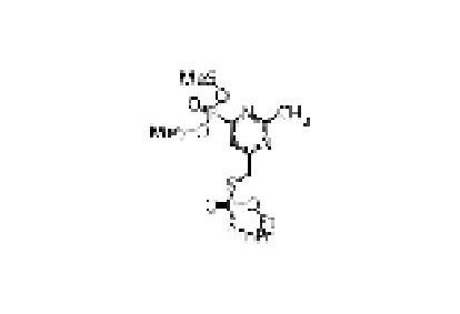 CCCSP(=O)(OCC)SCc1cc(P(=O)(OSC)OSC)nc(C)n1